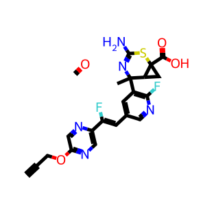 C#CCOc1cnc(C(F)=Cc2cnc(F)c(C3(C)N=C(N)SC4(C(=O)O)CC43)c2)cn1.C=O